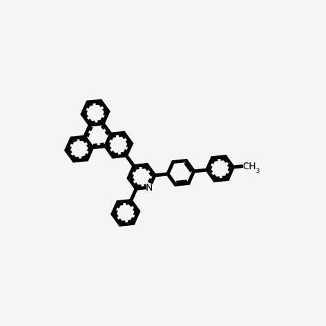 Cc1ccc(C2=CCC(c3cc(-c4ccc5c6ccccc6c6ccccc6c5c4)cc(-c4ccccc4)n3)C=C2)cc1